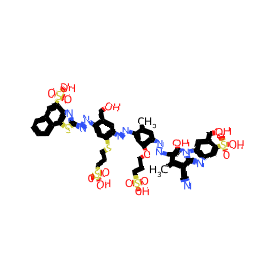 Cc1cc(N=Nc2c(C)c(C#N)c3nc4cc(S(=O)(=O)O)c(CO)cc4n3c2O)c(OCCCS(=O)(=O)O)cc1N=Nc1cc(CO)c(N=Nc2nc3c(S(=O)(=O)O)cc4ccccc4c3s2)cc1SCCCS(=O)(=O)O